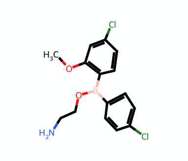 COc1cc(Cl)ccc1B(OCCN)c1ccc(Cl)cc1